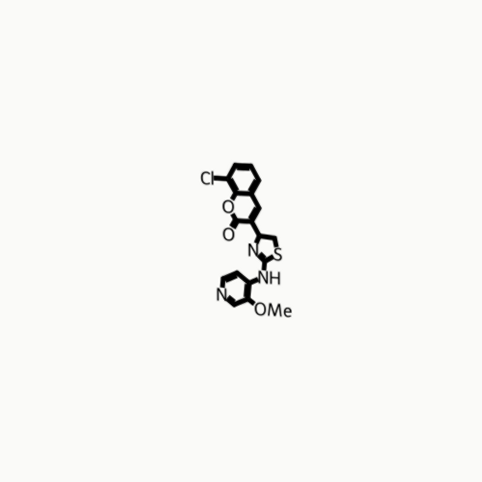 COc1cnccc1NC1=NC(c2cc3cccc(Cl)c3oc2=O)CS1